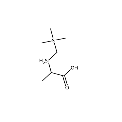 CC([SiH2]C[Si](C)(C)C)C(=O)O